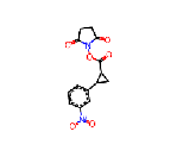 O=C(ON1C(=O)CCC1=O)C1CC1c1cccc([N+](=O)[O-])c1